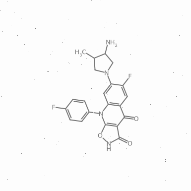 CC1CN(c2cc3c(cc2F)c(=O)c2c(=O)[nH]oc2n3-c2ccc(F)cc2)CC1N